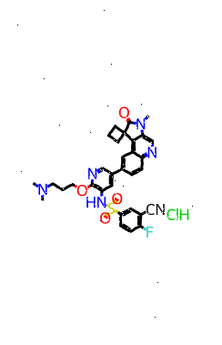 CN(C)CCCOc1ncc(-c2ccc3ncc4c(c3c2)C2(CCC2)C(=O)N4C)cc1NS(=O)(=O)c1ccc(F)c(C#N)c1.Cl